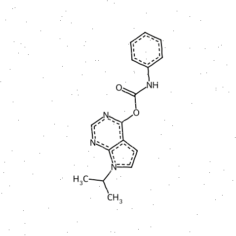 CC(C)n1ccc2c(OC(=O)Nc3ccccc3)ncnc21